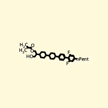 C=C(C)C(=O)OCC(CO)C1CCC(C2CCC(c3ccc(-c4c(F)cc(CCCCC)cc4F)cc3)CC2)CC1